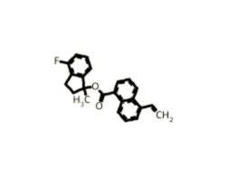 C=Cc1cccc2c(C(=O)OC3(C)CCc4c(F)cccc43)cccc12